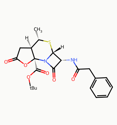 C[C@@H]1S[C@@H]2[C@H](NC(=O)Cc3ccccc3)C(=O)N2[C@@]2(C(=O)OC(C)(C)C)OC(=O)C[C@@H]12